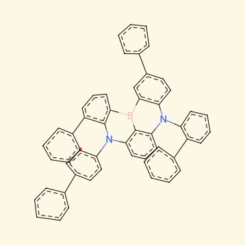 c1ccc(-c2ccc(N3c4cccc5c4B(c4cc(-c6ccccc6)ccc4N5c4ccccc4-c4ccccc4)c4cccc(-c5ccccc5)c43)cc2)cc1